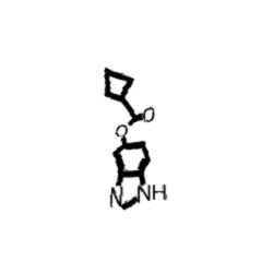 O=C(Oc1ccc2[nH]cnc2c1)C1CCC1